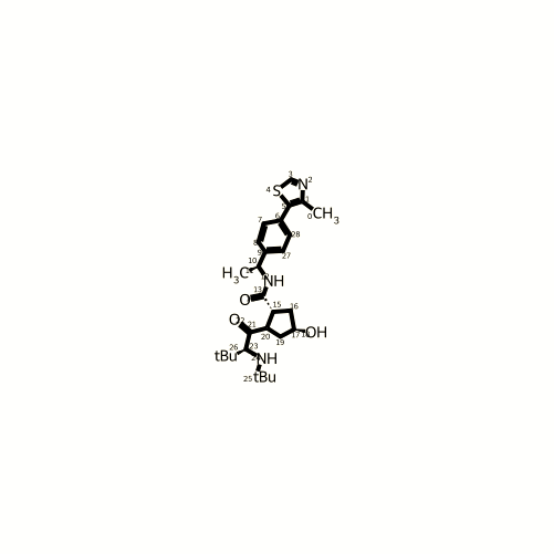 Cc1ncsc1-c1ccc([C@H](C)NC(=O)[C@@H]2C[C@@H](O)CC2C(=O)[C@@H](NC(C)(C)C)C(C)(C)C)cc1